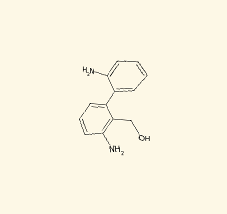 Nc1ccccc1-c1cccc(N)c1CO